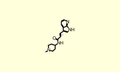 CN1CCC(NC(=O)/C=C/c2c[nH]c3ncccc23)CC1